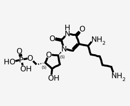 NCCCCC(N)c1cn([C@@H]2CC(O)[C@H](COP(=O)(O)O)O2)c(=O)[nH]c1=O